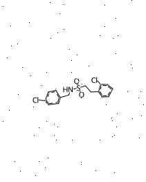 O=S(=O)(CCc1ccccc1Cl)NCc1[c]cc(Cl)cc1